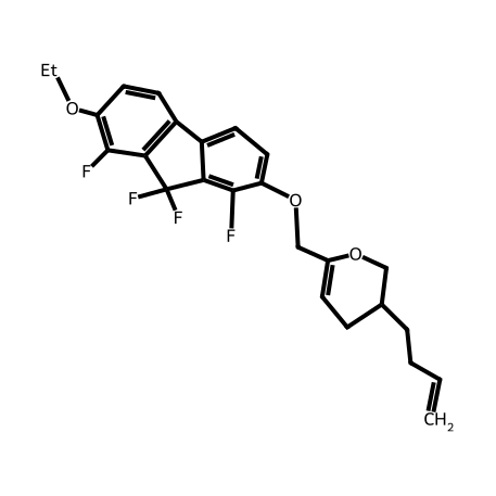 C=CCCC1CC=C(COc2ccc3c(c2F)C(F)(F)c2c-3ccc(OCC)c2F)OC1